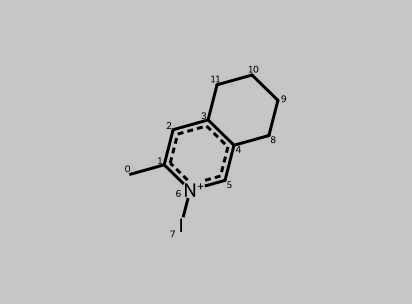 Cc1cc2c(c[n+]1I)CCCC2